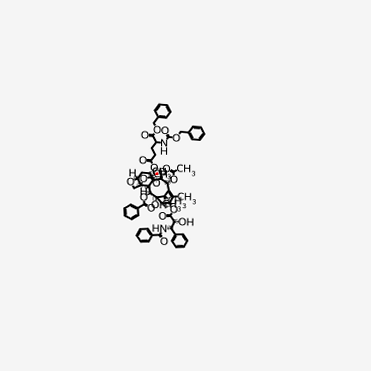 CC(=O)O[C@H]1C(=O)[C@]2(C)[C@@H](OC(=O)CCC(NC(=O)OCc3ccccc3)C(=O)OCc3ccccc3)C[C@H]3OC[C@@]3(OC(C)=O)[C@H]2[C@H](OC(=O)c2ccccc2)[C@]2(O)C[C@H](OC(=O)[C@H](O)[C@@H](NC(=O)c3ccccc3)c3ccccc3)C(C)=C1C2(C)C